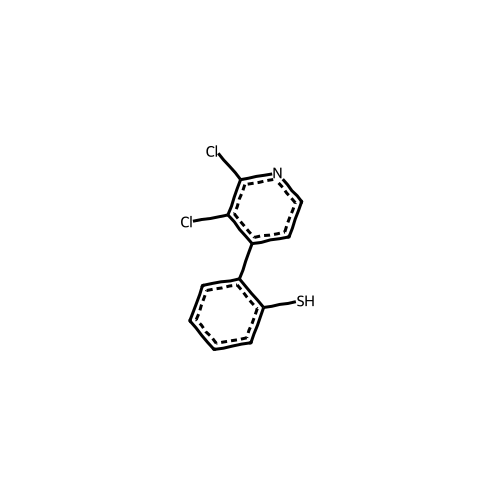 Sc1ccccc1-c1ccnc(Cl)c1Cl